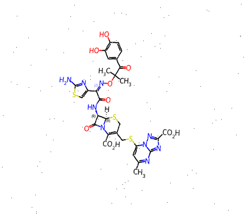 Cc1cc(SCC2=C(C(=O)O)N3C(=O)[C@@H](NC(=O)/C(=N\OC(C)(C)C(=O)c4ccc(O)c(O)c4)c4csc(N)n4)[C@H]3SC2)n2nc(C(=O)O)nc2n1